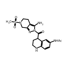 CC(=O)Nc1ccc2c(c1)C(C(=O)n1nc3c(c1N)CCN(S(C)(=O)=O)C3)CCN2